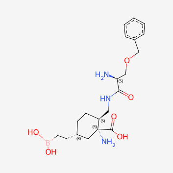 N[C@@H](COCc1ccccc1)C(=O)NC[C@@H]1CC[C@@H](CCB(O)O)C[C@]1(N)C(=O)O